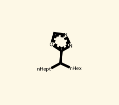 CCCCCCCC(CCCCCC)c1nnco1